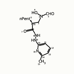 CCCCC[C@@H](CN(O)C=O)C(=O)NNc1cccc(C)n1